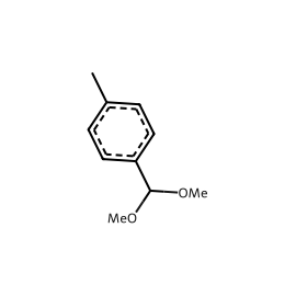 COC(OC)c1ccc(C)cc1